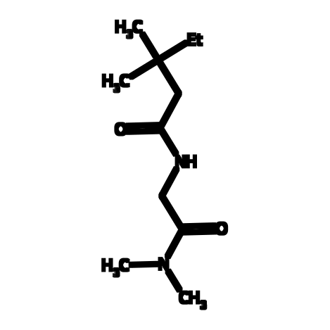 CCC(C)(C)CC(=O)NCC(=O)N(C)C